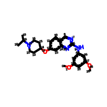 COc1cc(Nc2ncc3ccc(OC4CCN(C(C)C)CC4)cc3n2)cc(OC)c1